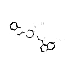 C=C[C@H](Cc1ccccc1)N1CC[C@@H](CC[C@@H](F)c2ccnc3ccc(OC)cc23)[C@@H](CC(=O)O)C1